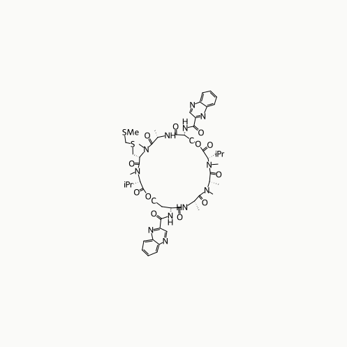 CSCSC[C@H]1C(=O)N(C)[C@@H](C(C)C)C(=O)OCC[C@@H](NC(=O)c2cnc3ccccc3n2)C(=O)N[C@@H](C)C(=O)N(C)[C@@H](C)C(=O)N(C)[C@@H](C(C)C)C(=O)OC[C@@H](NC(=O)c2cnc3ccccc3n2)C(=O)N[C@@H](C)C(=O)N1C